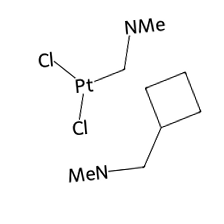 CNCC1CCC1.CN[CH2][Pt]([Cl])[Cl]